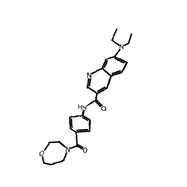 CCN(CC)c1ccc2cc(C(=O)Nc3ccc(C(=O)N4CCCOCC4)cc3)cnc2c1